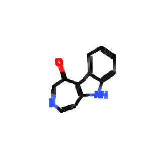 O=c1cnccc2[nH]c3ccccc3c12